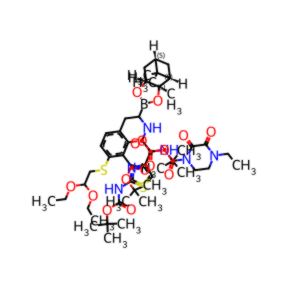 CCOC(CSc1ccc(CC(NC(=O)C(NC(=O)N2CCN(CC)C(=O)C2=O)c2csc(NC(=O)OC(C)(C)C)n2)B2O[C@@H]3C[C@@H]4C[C@@H](C4(C)C)[C@]3(C)O2)c(OC(=O)OC(C)(C)C)c1C(=O)OC(C)(C)C)OCC